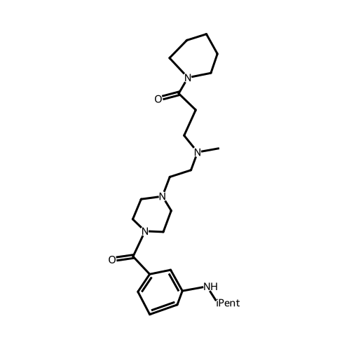 CCCC(C)Nc1cccc(C(=O)N2CCN(CCN(C)CCC(=O)N3CCCCC3)CC2)c1